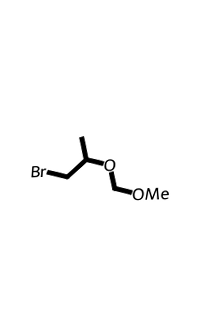 COCOC(C)CBr